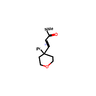 CNC(=O)/C=C/C1(C(C)C)CCOCC1